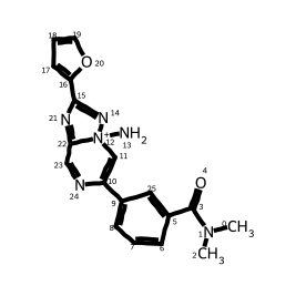 CN(C)C(=O)c1cccc(C2=C[N+]3(N)N=C(c4ccco4)N=C3C=N2)c1